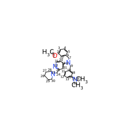 COc1cccc(CN(Cc2cccc(N(C)C)c2)c2ccnc(CN3CCCCC3)c2)c1